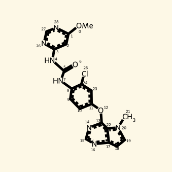 COc1cc(NC(=O)Nc2ccc(Oc3ncnc4ccn(C)c34)cc2Cl)ncn1